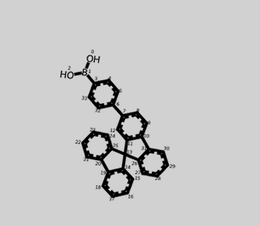 OB(O)c1ccc(-c2ccc3c(c2)C2(c4ccccc4-c4ccccc42)c2ccccc2-3)cc1